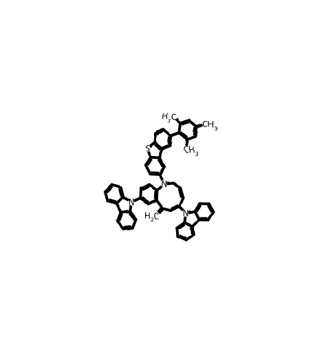 C=C1/C=C(n2c3ccccc3c3ccccc32)\C=C/CN(c2ccc3sc4ccc(-c5c(C)cc(C)cc5C)cc4c3c2)c2ccc(-n3c4ccccc4c4ccccc43)cc21